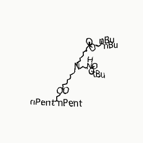 CCCCCC(CCCCC)CCOC(=O)CCCCCCCN(CCCCCCCC(=O)OCCC(CCCC)CCCC)CCCNC(=O)OC(C)(C)C